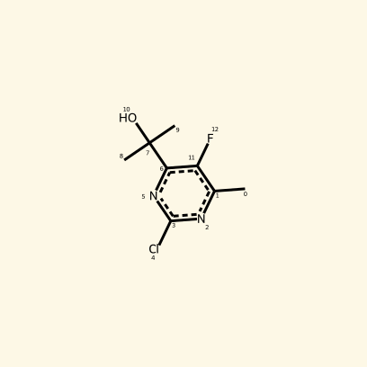 Cc1nc(Cl)nc(C(C)(C)O)c1F